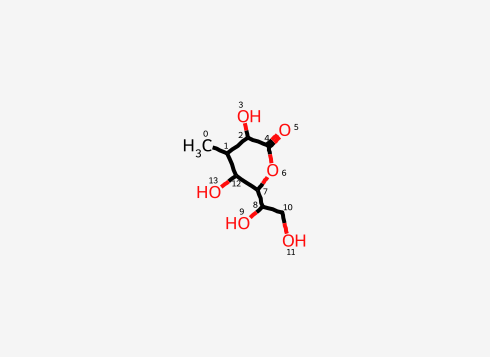 CC1C(O)C(=O)OC(C(O)CO)C1O